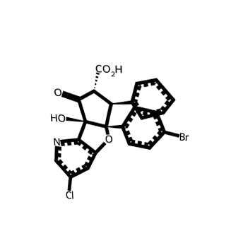 O=C(O)[C@H]1C(=O)[C@@]2(O)c3ncc(Cl)cc3O[C@@]2(c2ccc(Br)cc2)[C@@H]1c1ccccc1